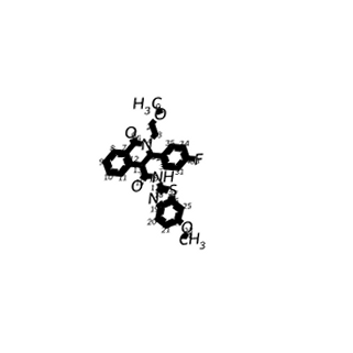 COCCN1C(=O)c2ccccc2C(C(=O)Nc2nc3ccc(OC)cc3s2)C1c1ccc(F)cc1